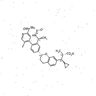 COc1cc(-c2ccc([C@H]3CCc4ccc([C@H](C5CC5)[C@H](C)C(=O)O)cc4O3)cc2[C@H](C)N[S@@+]([O-])C(C)(C)C)c(F)cn1